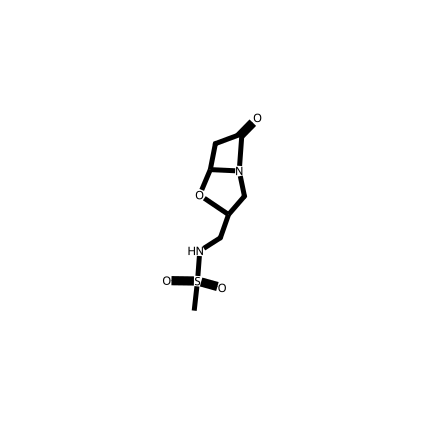 CS(=O)(=O)NCC1CN2C(=O)CC2O1